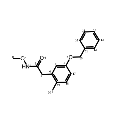 CONC(=O)Cc1cc(OCc2ccccc2)ccc1I